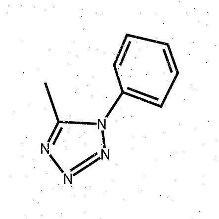 Cc1nnnn1-c1ccccc1